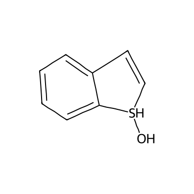 O[SH]1C=Cc2ccccc21